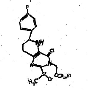 CCOC(=O)Cn1c([S+](C)[O-])nc2c(c1=O)N[C@H](c1ccc(F)cc1)CC2